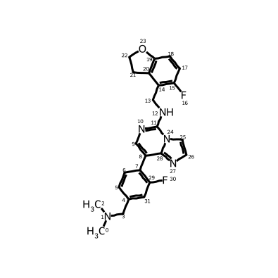 CN(C)Cc1ccc(-c2cnc(NCc3c(F)ccc4c3CCO4)n3ccnc23)c(F)c1